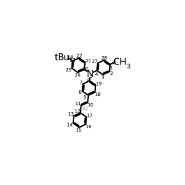 Cc1ccc(N(c2ccc(/C=C/c3ccccc3)cc2)c2ccc(C(C)(C)C)cc2)cc1